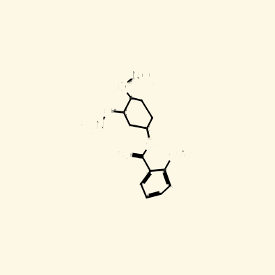 CC(=O)Oc1ccccc1C(=O)OC1CCC(O[N+](=O)[O-])C(O[N+](=O)[O-])C1